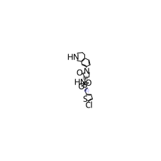 O=C1[C@@H](NS(=O)(=O)/C=C/c2ccc(Cl)s2)CCN1c1ccc2c(c1)CNCCC2